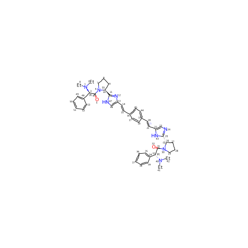 CCN(CC)[C@@H](C(=O)N1CCC[C@H]1c1nc(C=Cc2ccc(/C=C/c3cnc([C@@H]4CCCN4C(=O)[C@@H](c4ccccc4)N(CC)CC)[nH]3)cc2)c[nH]1)c1ccccc1